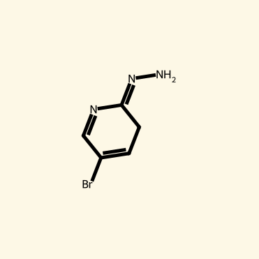 NN=C1CC=C(Br)C=N1